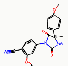 COc1ccc([C@@]2(C)NC(=O)N(c3ccc(C#N)c(OC)c3)C2=O)cc1